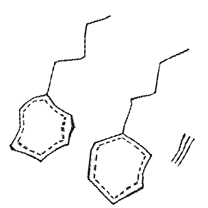 C#C.CCCCc1ccccc1.CCCCc1ccccc1